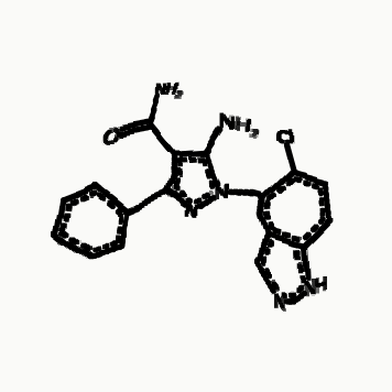 NC(=O)c1c(-c2ccccc2)nn(-c2c(Cl)ccc3[nH]ncc23)c1N